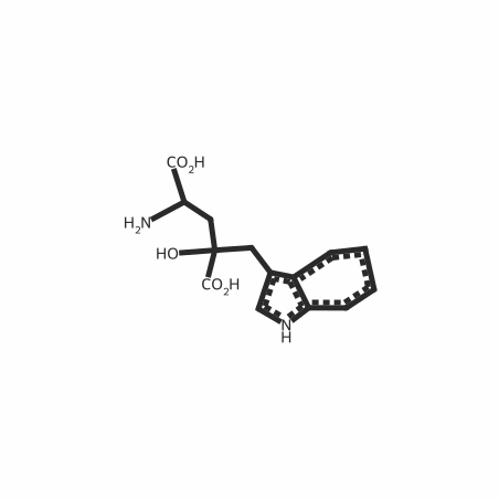 NC(CC(O)(Cc1c[nH]c2ccccc12)C(=O)O)C(=O)O